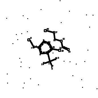 FC(F)(F)c1cc(SCl)ccc1Cl.O=COCSCl